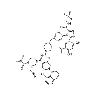 C=C(F)C(=O)N1CCN(c2nc(N3CCC(Cc4ccc(-n5c(C(=O)NCC(F)(F)F)nnc5-c5cc(C(C)C)c(O)cc5O)cc4)CC3)nc3c2CCN(c2cccc4cccc(Cl)c24)C3)C[C@@H]1CC#N